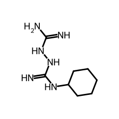 N=C(N)NNC(=N)NC1CCCCC1